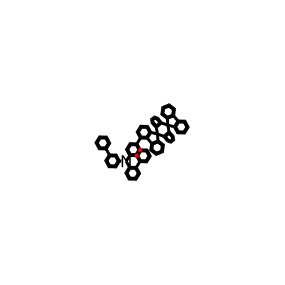 c1ccc(-c2cccc(N(c3ccc(-c4cccc5c4-c4ccccc4C54c5ccccc5C5(c6ccccc6-c6ccccc65)c5ccccc54)cc3)c3ccccc3-c3ccccc3)c2)cc1